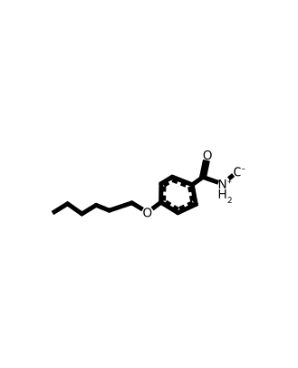 [CH2-][NH2+]C(=O)c1ccc(OCCCCCC)cc1